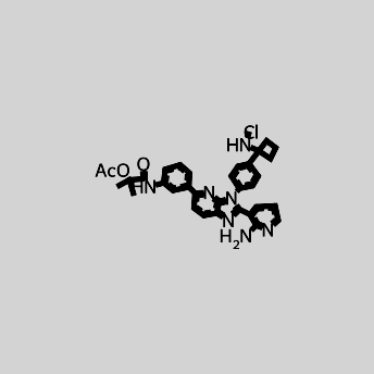 CC(=O)OC(C)(C)C(=O)Nc1cccc(-c2ccc3nc(-c4cccnc4N)n(-c4ccc(C5(NCl)CCC5)cc4)c3n2)c1